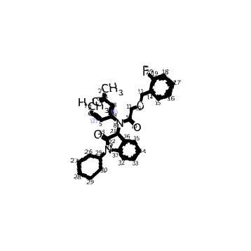 C=C(C)/C=C(\C=C/C)N(C(=O)COCc1ccccc1F)C1C(=O)N(C2CCCCC2)c2ccccc21